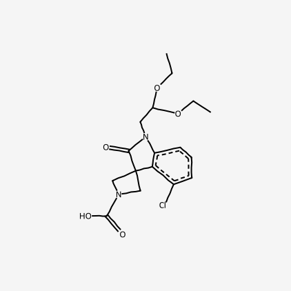 CCOC(CN1C(=O)C2(CN(C(=O)O)C2)c2c(Cl)cccc21)OCC